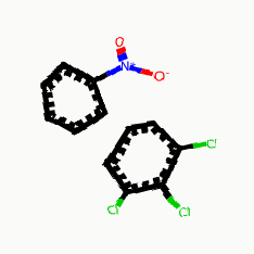 Clc1cccc(Cl)c1Cl.O=[N+]([O-])c1ccccc1